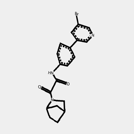 O=C(Nc1ccc(-c2cncc(Br)c2)cc1)C(=O)N1CC2CCC1C2